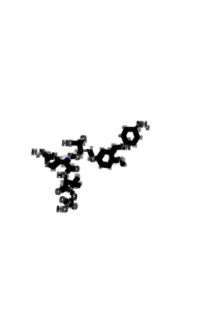 C/N=C1\C=CC(OC[C@H](O/N=C(\C(=O)N[C@@H]2C(=O)N(OS(=O)(=O)O)C2(C)C)c2csc(N)n2)C(=O)O)=C\C1=C\N[C@H]1CC[C@@H](N)CC1